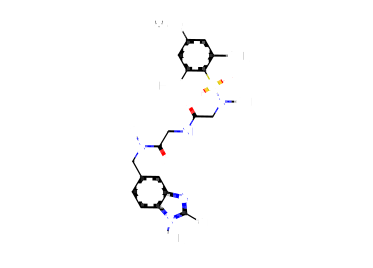 COc1cc(C)c(S(=O)(=O)N(C)CC(=O)NCC(=O)N(C)Cc2ccc3c(c2)nc(C)n3C)c(C)c1